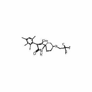 Cc1cc(C)c(C2=C(O)C3(CCC(OCC(F)(F)F)CC3)NC2=O)c(C)c1C